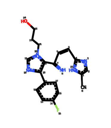 N#Cc1cnc(/C=C\C(=N)c2c(-c3ccc(F)cc3)ncn2CCCO)[nH]1